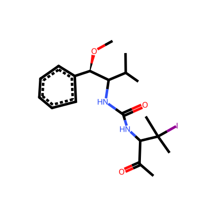 CO[C@H](c1ccccc1)C(NC(=O)NC(C(C)=O)C(C)(C)I)C(C)C